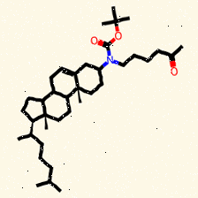 CC(=O)CCCCN(C(=O)OC(C)(C)C)C1CC[C@@]2(C)C(=CCC3C2CC[C@@]2(C)C3CC[C@@H]2C(C)CCCC(C)C)C1